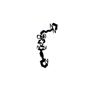 O=S(=O)(/C=C\CCCc1ncccn1)N1CCN(c2ncc(C#Cc3ccccn3)cn2)CC1